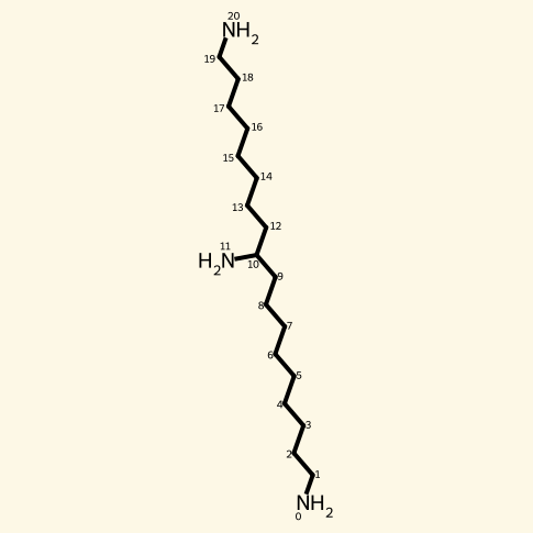 NCCCCCCCCCC(N)CCCCCCCCN